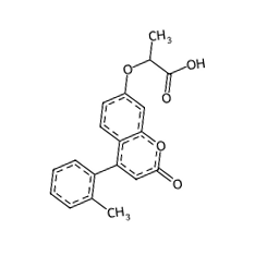 Cc1ccccc1-c1cc(=O)oc2cc(OC(C)C(=O)O)ccc12